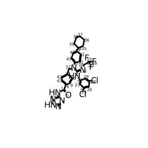 O=C(Nc1nn[nH]n1)c1ccc(CN(/C(=N\CC(F)(F)F)Nc2cc(Cl)cc(Cl)c2)c2ccc(C3CCCCC3)cc2)cc1